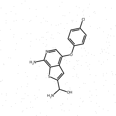 Nc1ncc(Oc2ccc(Cl)cc2)c2cc(C(N)O)sc12